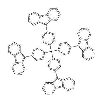 c1ccc2c(c1)c1ccccc1n2-c1ccc(C(c2ccc(-n3c4ccccc4c4ccccc43)cc2)(c2ccc(-n3c4ccccc4c4ccccc43)cc2)c2ccc(-n3c4ccccc4c4ccccc43)cc2)cc1